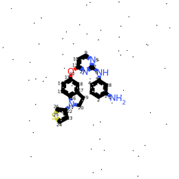 Nc1cccc(Nc2nccc(Oc3ccc4c(c3)CCN4c3ccsc3)n2)c1